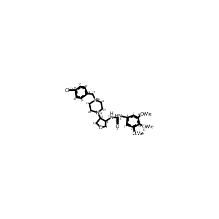 COc1cc(NC(=O)NC2COCC2N2CCN(Cc3ccc(Cl)cc3)CC2)cc(OC)c1OC